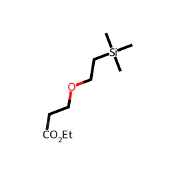 CCOC(=O)CCOCC[Si](C)(C)C